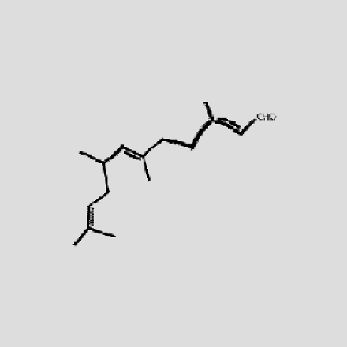 CC(C)=CCC(C)/C=C(\C)CC/C(C)=C/C=O